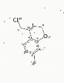 Fc1ccc2c(c1)OCC=C2CCl